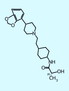 C[C@@H](O)C(=O)NC1CCC(CCN2CCC(c3cccc4c3OCO4)CC2)CC1